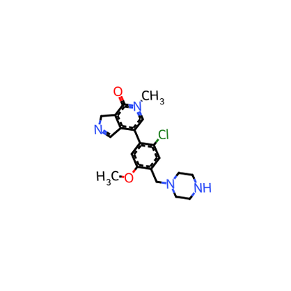 COc1cc(-c2cn(C)c(=O)c3c2C=NC3)c(Cl)cc1CN1CCNCC1